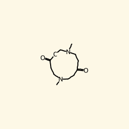 CN1CCC(=O)CCN(C)CCC(=O)CC1